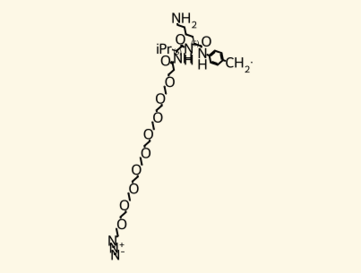 [CH2]c1ccc(NC(=O)[C@H](CCCCN)NC(=O)[C@@H](NC(=O)CCOCCOCCOCCOCCOCCOCCOCCOCCOCCN=[N+]=[N-])C(C)C)cc1